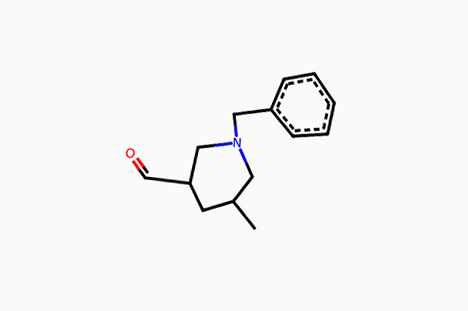 CC1CC(C=O)CN(Cc2ccccc2)C1